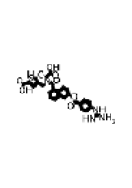 C[C@H](C(=O)O)N(Cc1csc(C(=O)O)c1)C(=O)c1cccc2cc(OC(=O)c3ccc(NC(=N)N)cc3)ccc12